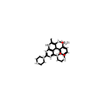 CCOC(=O)OC1=C(C)Nc2nc(N3CCOCC3)nc(N3CCOCC3)c2C1c1ccccc1C(F)(F)F